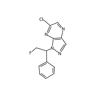 FCC(c1ccccc1)n1ncc2ncc(Cl)nc21